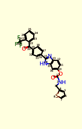 O=C(NCc1cccs1)Oc1ccc2nc(-c3ccc(C(=O)c4ccccc4C(F)(F)F)cc3)[nH]c2c1